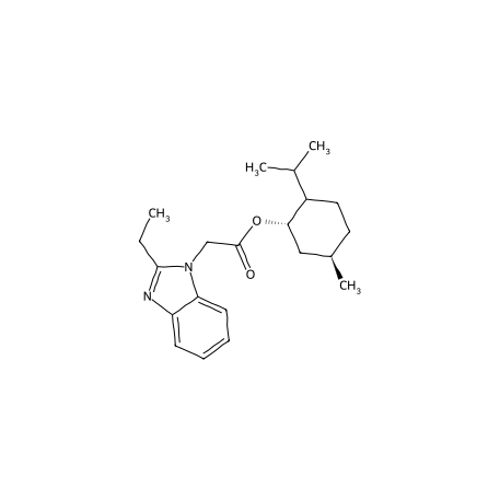 CCc1nc2ccccc2n1CC(=O)O[C@H]1C[C@H](C)CCC1C(C)C